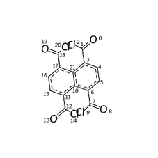 O=C(Cl)c1ccc(C(=O)Cl)c2c(C(=O)Cl)ccc(C(=O)Cl)c12